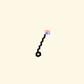 ONCCCCCCCCCc1ccccc1